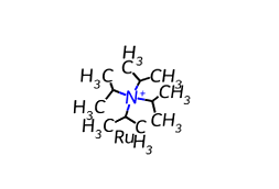 CC(C)[N+](C(C)C)(C(C)C)C(C)C.[Ru]